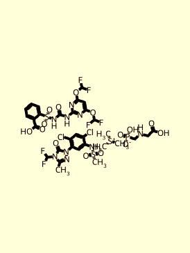 C[S+](C)C.Cc1nn(-c2cc(NS(C)(=O)=O)c(Cl)cc2Cl)c(=O)n1C(F)F.O=C(Nc1nc(OC(F)F)cc(OC(F)F)n1)NS(=O)(=O)c1ccccc1C(=O)O.O=C(O)CNCP(=O)([O-])O